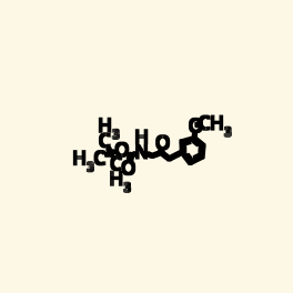 COc1cccc(CC(=O)CNC(=O)OC(C)(C)C)c1